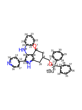 CC(C)(C)[Si](OCC1CC(=O)c2c([nH]c(-c3ccncc3)c2Nc2ccccc2)C1)(c1ccccc1)c1ccccc1